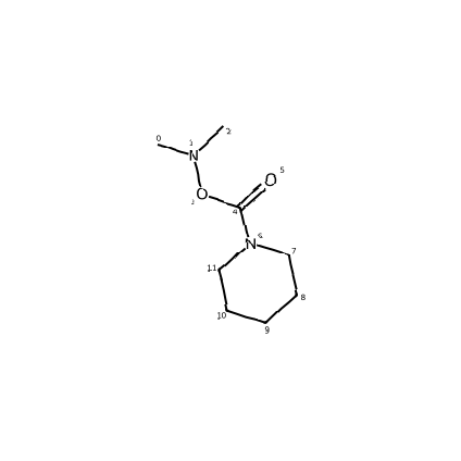 CN(C)OC(=O)N1CCCCC1